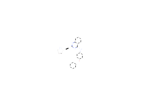 C#Cc1nc(Nc2ccc(Oc3ccccc3)c(C)c2)c2ccccc2n1.C1NCC2OC12